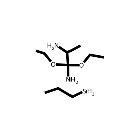 CCC[SiH3].CCOC(N)(OCC)C(C)N